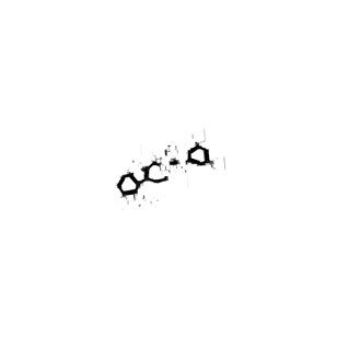 COc1ccc2[nH]c3c(c2c1)CCN(C(=O)Nc1cc(Cl)cc(Cl)c1)C3C(F)(F)F